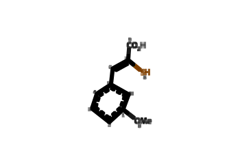 COc1cccc(C=C(S)C(=O)O)c1